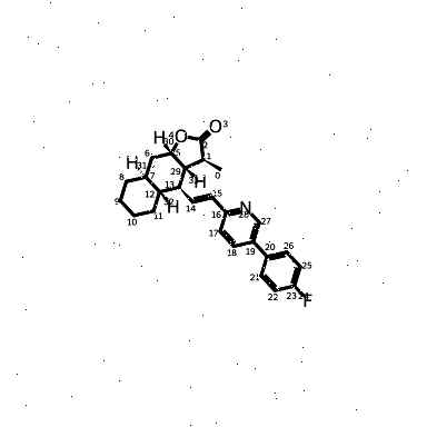 C[C@@H]1C(=O)O[C@H]2C[C@@H]3CCCC[C@H]3[C@H](/C=C/c3ccc(-c4ccc(F)cc4)cn3)[C@H]21